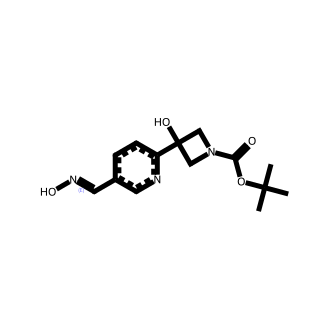 CC(C)(C)OC(=O)N1CC(O)(c2ccc(/C=N/O)cn2)C1